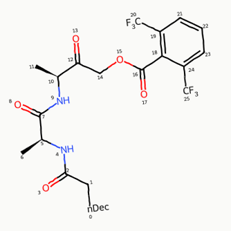 CCCCCCCCCCCC(=O)N[C@@H](C)C(=O)N[C@@H](C)C(=O)COC(=O)c1c(C(F)(F)F)cccc1C(F)(F)F